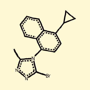 Cc1nnc(Br)n1-c1ccc(C2CC2)c2ccccc12